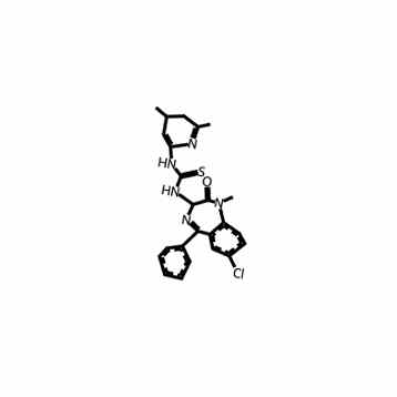 CC1=NC(NC(=S)NC2N=C(c3ccccc3)c3cc(Cl)ccc3N(C)C2=O)=CC(C)C1